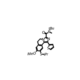 COc1cc2c(cc1SC(C)C)-c1c(-c3cccs3)nc(C(=O)N(C)C(C)(C)C)n1CC2